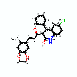 O=C(C=Cc1cc2c(cc1[N+](=O)[O-])OCCO2)c1c(-c2ccccc2)c2cc(Cl)ccc2[nH]c1=O